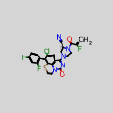 C=C(F)C(=O)N1CCN(c2nc(=O)n3c4c(c(-c5ccc(F)cc5F)c(Cl)cc24)SCC3)C[C@H]1C#N